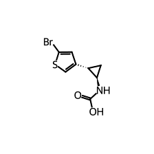 O=C(O)N[C@@H]1C[C@H]1c1csc(Br)c1